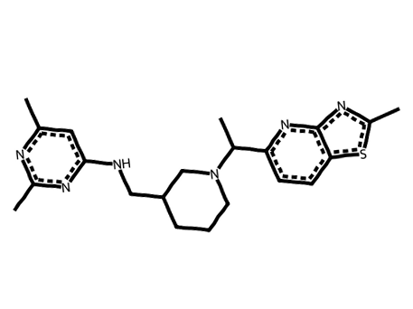 Cc1cc(NCC2CCCN(C(C)c3ccc4sc(C)nc4n3)C2)nc(C)n1